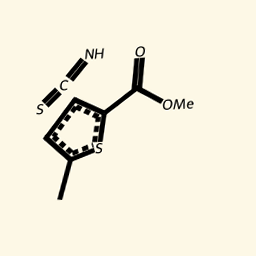 COC(=O)c1ccc(C)s1.N=C=S